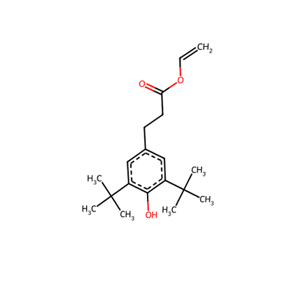 C=COC(=O)CCc1cc(C(C)(C)C)c(O)c(C(C)(C)C)c1